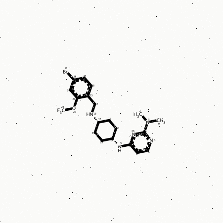 CN(C)c1nccc(N[C@H]2CC[C@@H](NCc3ccc(Br)cc3OC(F)(F)F)CC2)n1